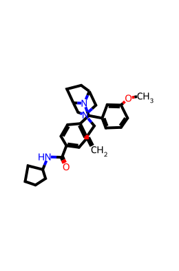 C=CCN1CC2CCC(C1)N2C(c1ccc(C(=O)NC2CCCC2)cc1)c1cccc(OC)c1